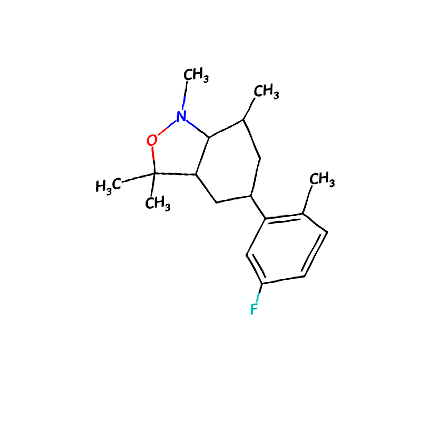 Cc1ccc(F)cc1C1CC(C)C2C(C1)C(C)(C)ON2C